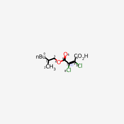 CCCCC(C)COC(=O)/C(Cl)=C(/Cl)C(=O)O